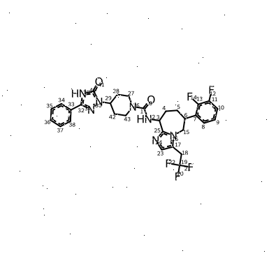 O=C(NC1CCC(c2cccc(F)c2F)Cn2c(CC(F)(F)F)cnc21)N1CCC(n2nc(-c3ccccc3)[nH]c2=O)CC1